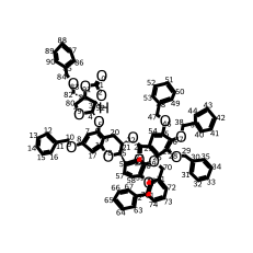 O=C1O[C@H]2[C@H](Oc3cc(OCc4ccccc4)cc4c3C[C@H](OC(=O)c3cc(OCc5ccccc5)c(OCc5ccccc5)c(OCc5ccccc5)c3)[C@@H](c3ccc(OCc5ccccc5)c(OCc5ccccc5)c3)O4)OC[C@@]2(COCc2ccccc2)O1